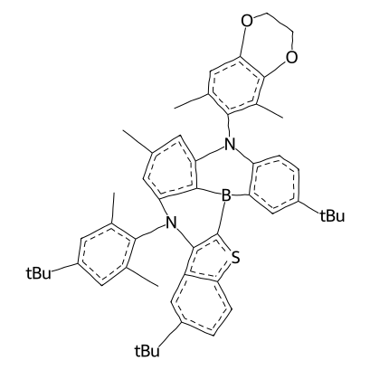 Cc1cc2c3c(c1)N(c1c(C)cc(C(C)(C)C)cc1C)c1c(sc4ccc(C(C)(C)C)cc14)B3c1cc(C(C)(C)C)ccc1N2c1c(C)cc2c(c1C)OCCO2